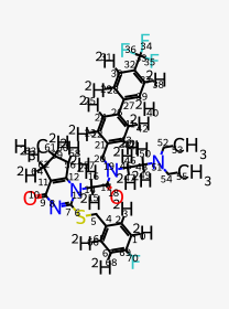 [2H]c1c([2H])c(CSc2nc(=O)c3c(n2C([2H])([2H])C(=O)N(Cc2c([2H])c([2H])c(-c4c([2H])c([2H])c(C(F)(F)F)c([2H])c4[2H])c([2H])c2[2H])C([2H])([2H])C([2H])([2H])N(CC)CC)C([2H])([2H])C([2H])(C)C3([2H])[2H])c([2H])c([2H])c1F